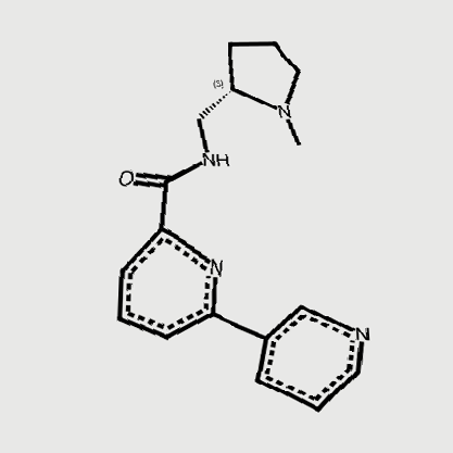 CN1CCC[C@H]1CNC(=O)c1cccc(-c2cccnc2)n1